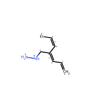 C=C/C=C(\C=C/CC)CNN